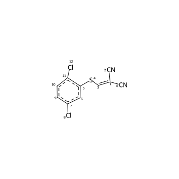 N#CC(C#N)=CSc1cc(Cl)ccc1Cl